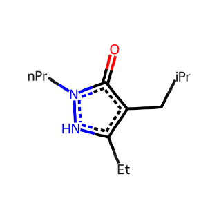 CCCn1[nH]c(CC)c(CC(C)C)c1=O